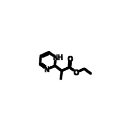 CCOC(=O)C(C)C1N=CC=CN1